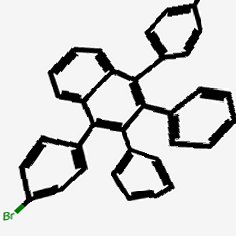 Brc1ccc(-c2c(-c3ccccc3)c(-c3ccccc3)c(-c3ccc(Br)cc3)c3ccccc23)cc1